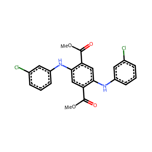 COC(=O)c1cc(Nc2cccc(Cl)c2)c(C(=O)OC)cc1Nc1cccc(Cl)c1